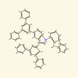 c1ccc(-c2cc(-c3ccccc3)cc(-c3ccc4c(c3)c(-c3cc(-c5ccccc5)cc(-c5ccccc5)c3)cn4-c3cccc4c3sc3ccccc34)c2)cc1